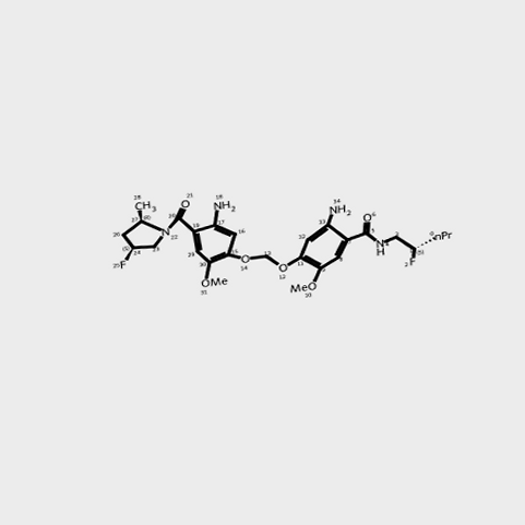 CCC[C@H](F)CNC(=O)c1cc(OC)c(OCOc2cc(N)c(C(=O)N3C[C@@H](F)C[C@H]3C)cc2OC)cc1N